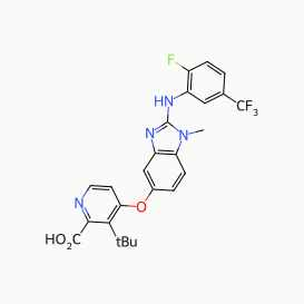 Cn1c(Nc2cc(C(F)(F)F)ccc2F)nc2cc(Oc3ccnc(C(=O)O)c3C(C)(C)C)ccc21